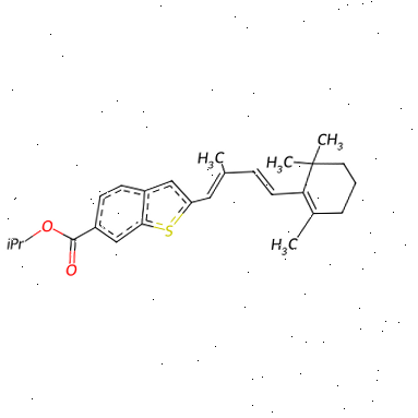 CC1=C(C=C/C(C)=C/c2cc3ccc(C(=O)OC(C)C)cc3s2)C(C)(C)CCC1